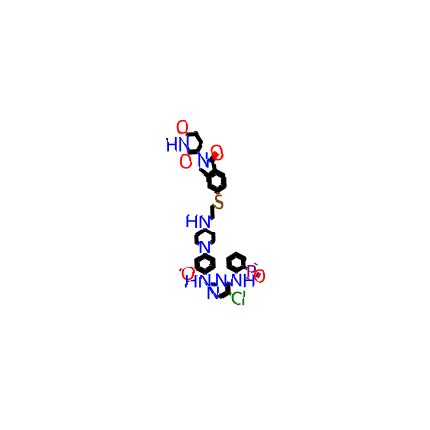 COc1cc(N2CCC(NCCSc3ccc4c(c3)CN(C3CCC(=O)NC3=O)C4=O)CC2)ccc1Nc1ncc(Cl)c(Nc2ccccc2P(C)(C)=O)n1